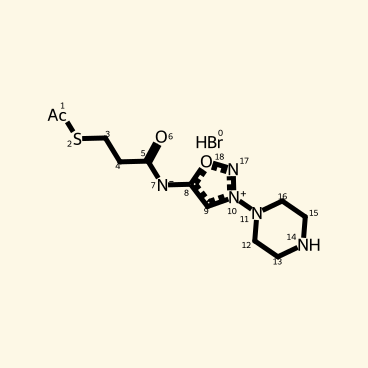 Br.CC(=O)SCCC(=O)[N-]c1c[n+](N2CCNCC2)no1